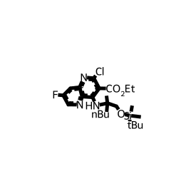 CCCCC(C)(CO[Si](C)(C)C(C)(C)C)Nc1c(C(=O)OCC)c(Cl)nc2cc(F)cnc12